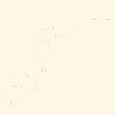 C[Si](C)(C)CCOCn1ncc2ccc(NC3=N[N+]4(Cl)C=CN=CC4=N3)cc21